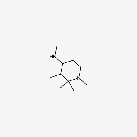 CNC1CCN(C)C(C)(C)C1C